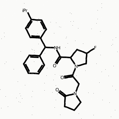 CC(C)c1ccc(C(NC(=O)C2CC(F)CN2C(=O)CN2CCCC2=O)c2ccccc2)cc1